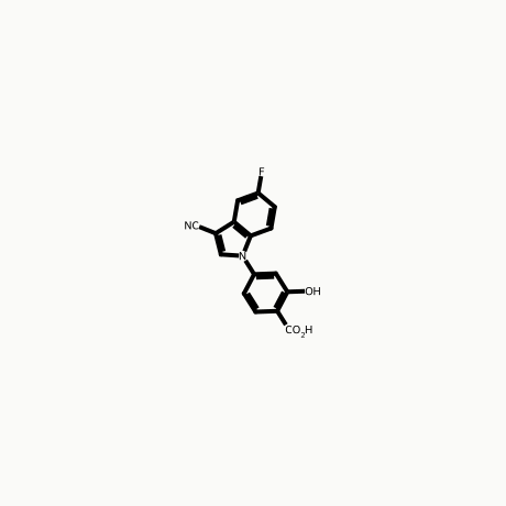 N#Cc1cn(-c2ccc(C(=O)O)c(O)c2)c2ccc(F)cc12